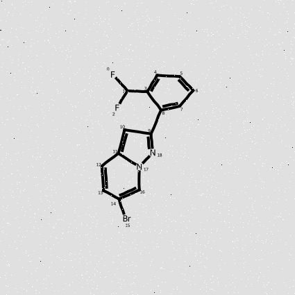 FC(F)c1ccccc1-c1cc2ccc(Br)cn2n1